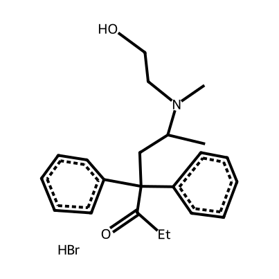 Br.CCC(=O)C(CC(C)N(C)CCO)(c1ccccc1)c1ccccc1